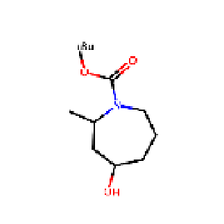 CC1CC(O)CCCN1C(=O)OC(C)(C)C